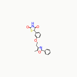 Cc1oc(-c2ccccc2)nc1CCOc1cccc(C2SC(=O)NC2=O)c1